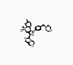 Cc1ccc2c(c1)S(=O)(=O)Cc1c(-c3ncc4n3CCOC4)nn(-c3ccc(CN4CCOCC4)cc3)c1-2